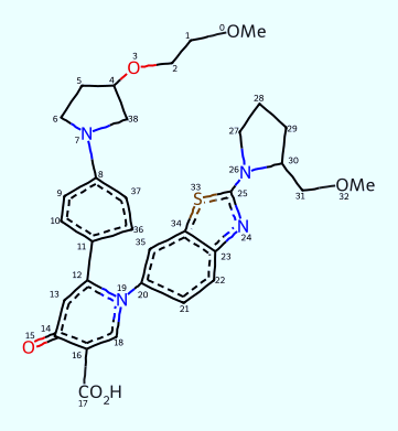 COCCOC1CCN(c2ccc(-c3cc(=O)c(C(=O)O)cn3-c3ccc4nc(N5CCCC5COC)sc4c3)cc2)C1